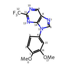 COc1ccc(-n2cnc3cnc(C(F)(F)F)nc32)cc1OC